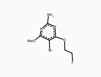 COc1nc(N)nc(OCCF)c1Br